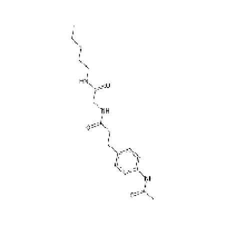 CCCCCNC(=O)CNC(=O)CCc1ccc(NC(C)=O)cc1